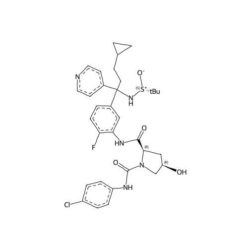 CC(C)(C)[S@@+]([O-])NC(CCC1CC1)(c1ccncc1)c1ccc(F)c(NC(=O)[C@H]2C[C@@H](O)CN2C(=O)Nc2ccc(Cl)cc2)c1